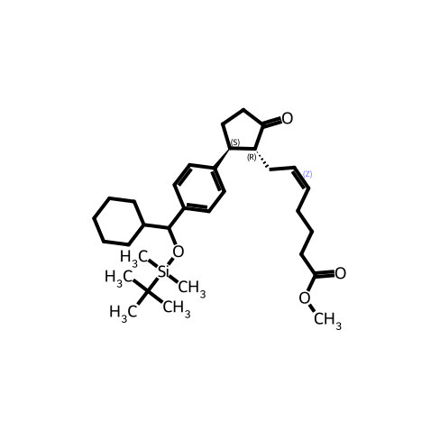 COC(=O)CCC/C=C\C[C@H]1C(=O)CC[C@@H]1c1ccc(C(O[Si](C)(C)C(C)(C)C)C2CCCCC2)cc1